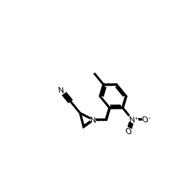 Cc1ccc([N+](=O)[O-])c(CN2CC2C#N)c1